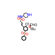 CC(C)(C)OC=O.O=S(=O)(CC=Cc1cc(S(=O)(=O)c2ccccc2)ccc1C(F)(F)F)NC1CCNCC1